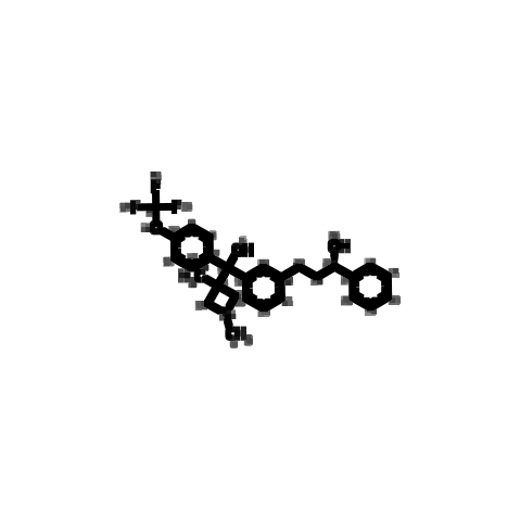 CN1CC(C)(C(O)(c2ccc(OC(F)(F)F)cc2)c2cccc(CC[C@@H](O)c3ccccc3)c2)C1